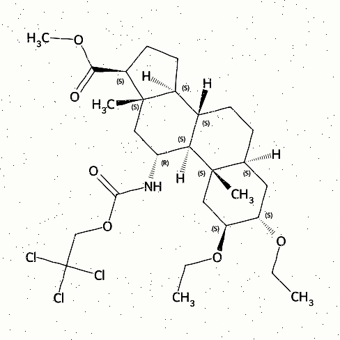 CCO[C@H]1C[C@@H]2CC[C@@H]3[C@H]([C@H](NC(=O)OCC(Cl)(Cl)Cl)C[C@]4(C)[C@@H](C(=O)OC)CC[C@@H]34)[C@@]2(C)C[C@@H]1OCC